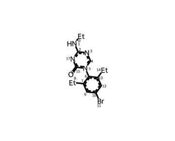 CCNc1ncn(-c2c(CC)cc(Br)cc2CC)c(=O)n1